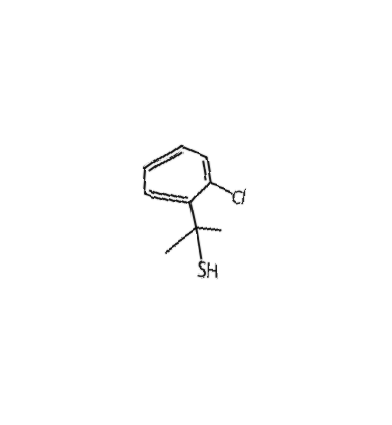 CC(C)(S)c1ccccc1Cl